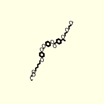 C=C=COOCCCCCCOc1ccc(OCOc2ccc(OC(=O)c3ccc(C(=C)OCCCOCCCOC)cc3)cc2)cc1